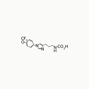 O=C(O)NCCCc1cn(-c2ccc(OC(F)(F)F)cc2)cn1